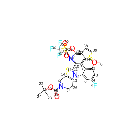 COc1cc(F)ccc1-c1c(-c2nc3c(s2)CN(C(=O)OC(C)(C)C)CC3)nc(OS(=O)(=O)C(F)(F)F)c2ccsc12